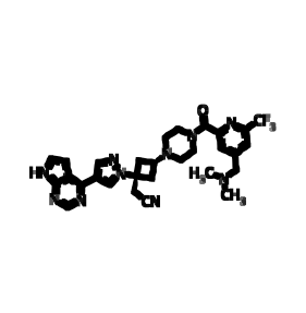 CN(C)Cc1cc(C(=O)N2CCN([C@H]3C[C@](CC#N)(n4cc(-c5ncnc6[nH]ccc56)cn4)C3)CC2)nc(C(F)(F)F)c1